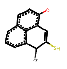 [CH2]CC1C(S)=Cc2c([O])ccc3cccc1c23